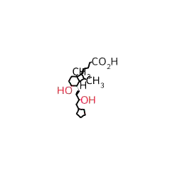 CC1C(=CCCC(=O)O)[C@]2(C)CC[C@H](O)[C@@H](/C=C/C(O)CC3CCCC3)[C@H]12